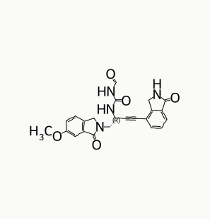 COc1ccc2c(c1)C(=O)N(C[C@@H](C#Cc1cccc3c1CNC3=O)NC(=O)NC=O)C2